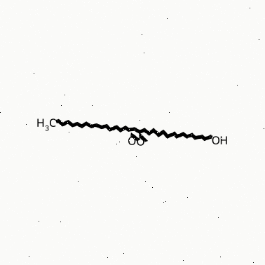 C1CO1.C1CO1.CCCCCCCCCCCCCCCCCCCCCCCCCCCCCCCCCCO